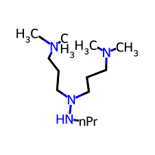 CCCNN(CCCN(C)C)CCCN(C)C